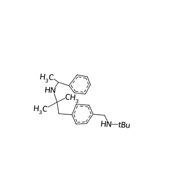 CC(NC(C)(C)Cc1ccc(CNC(C)(C)C)cc1)c1ccccc1